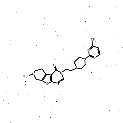 CN1CCc2c(sc3ncn(CCN4CCN(c5nccc(C(F)(F)F)n5)CC4)c(=O)c23)C1